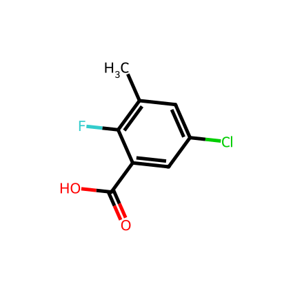 Cc1cc(Cl)cc(C(=O)O)c1F